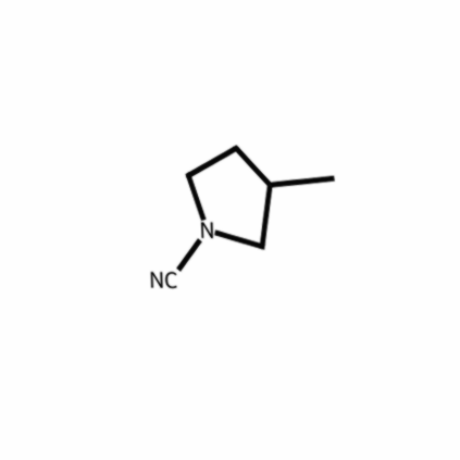 CC1CCN(C#N)C1